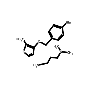 CC(C)(C)c1ccc(COc2ccsc2C(=O)O)cc1.CN(C)CCCN